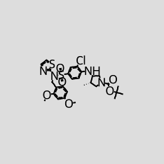 COc1ccc(CN(c2nccs2)S(=O)(=O)c2ccc(N[C@@H]3CN(C(=O)OC(C)(C)C)C[C@@H]3C)c(Cl)c2)c(OC)c1